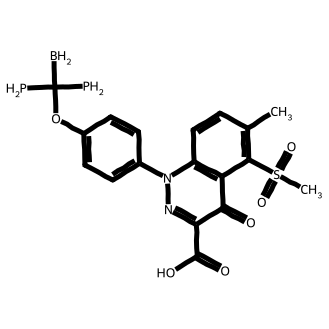 BC(P)(P)Oc1ccc(-n2nc(C(=O)O)c(=O)c3c(S(C)(=O)=O)c(C)ccc32)cc1